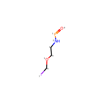 O=PNCCOCI